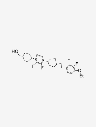 CCOc1ccc(CCC2CCC(c3ccc(C4CCC(CO)CC4)c(F)c3F)CC2)c(F)c1F